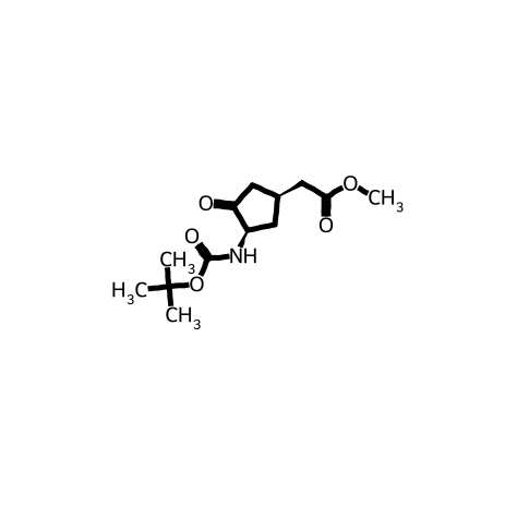 COC(=O)C[C@@H]1CC(=O)[C@H](NC(=O)OC(C)(C)C)C1